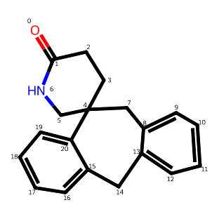 O=C1CCC2(CN1)Cc1ccccc1Cc1ccccc12